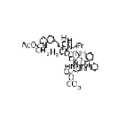 CC(=O)O[C@H](C)c1ccc2ccc(C=CC(C)(C)C(=O)NC(C(=O)NC(CO[Si](c3ccccc3)(c3ccccc3)C(C)(C)C)C(=O)N3CCCC(C(=O)OCC(Cl)(Cl)Cl)N3)C(C)C)cc2n1